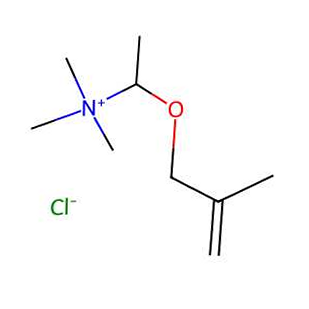 C=C(C)COC(C)[N+](C)(C)C.[Cl-]